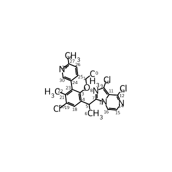 CCOc1c(C(C)c2nc(Cl)c3c(Cl)nccn23)cc(Cl)c(C)c1-c1ccc(C)nc1